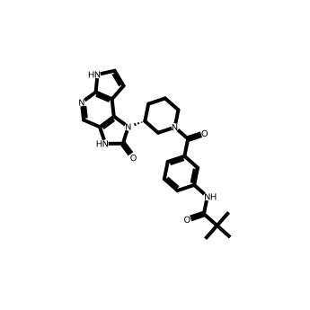 CC(C)(C)C(=O)Nc1cccc(C(=O)N2CCC[C@@H](n3c(=O)[nH]c4cnc5[nH]ccc5c43)C2)c1